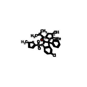 COc1ccccc1C1(N2C[C@H](O)C[C@H]2C(=O)N(C)C)C(=O)N(S(=O)(=O)c2ccc(C)s2)c2ccc(Cl)cc21